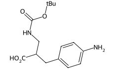 CC(C)(C)OC(=O)NCC(Cc1ccc(N)cc1)C(=O)O